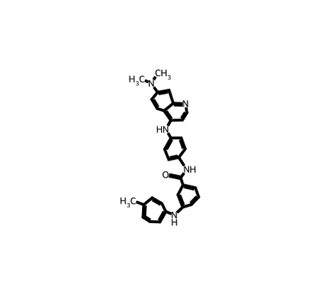 CC1=C=CC=C(Nc2cccc(C(=O)Nc3ccc(Nc4ccnc5cc(N(C)C)ccc45)cc3)c2)C=C1